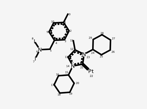 Cc1ccc(CN(I)I)cc1.Cc1cn(C2CCCCC2)[c](=[Pt])n1C1CCCCC1